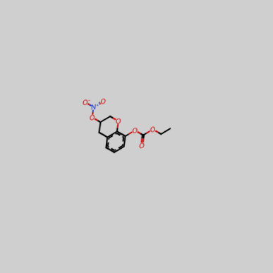 CCOC(=O)Oc1cccc2c1OCC(O[N+](=O)[O-])C2